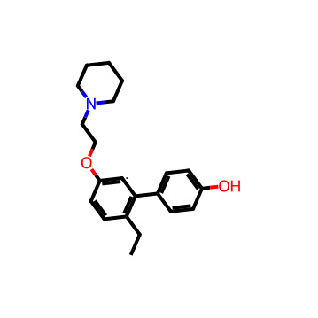 CCc1ccc(OCCN2CCCCC2)[c]c1-c1ccc(O)cc1